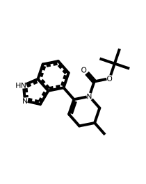 CC1CC=C(c2cccc3[nH]ncc23)N(C(=O)OC(C)(C)C)C1